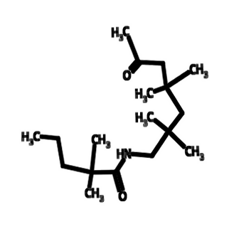 CCCC(C)(C)C(=O)NCC(C)(C)CC(C)(C)CC(C)=O